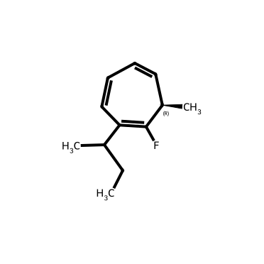 CCC(C)C1=C(F)[C@H](C)C=CC=C1